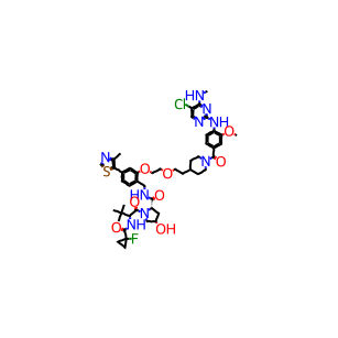 CNc1nc(Nc2ccc(C(=O)N3CCC(CCOCCOc4cc(-c5scnc5C)ccc4CNC(=O)[C@@H]4C[C@@H](O)CN4C(=O)C(NC(=O)C4(F)CC4)C(C)(C)C)CC3)cc2OC)ncc1Cl